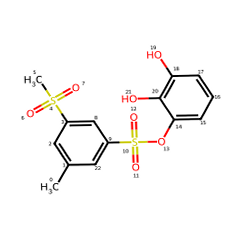 Cc1cc(S(C)(=O)=O)cc(S(=O)(=O)Oc2cccc(O)c2O)c1